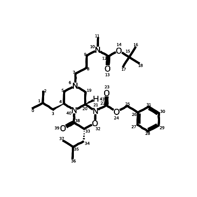 CC(C)C[C@H]1CN(CCCN(C)C(=O)OC(C)(C)C)C[C@@H]2N(C(=O)OCc3ccccc3)O[C@H](CC(C)C)C(=O)N12